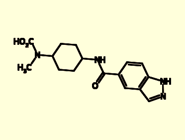 CN(C(=O)O)C1CCC(NC(=O)c2ccc3[nH]ncc3c2)CC1